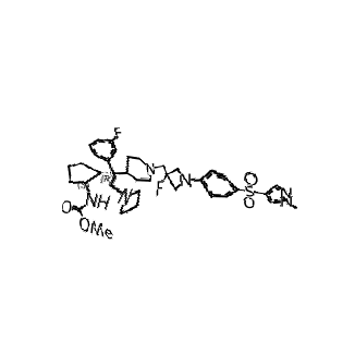 COC(=O)N[C@H]1CCC[C@@H]1C(CN1CCC1)(c1cccc(F)c1)C1CCN(CC2(F)CN(c3ccc(S(=O)(=O)c4cnn(C)c4)cc3)C2)CC1